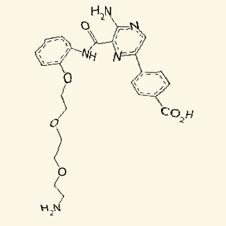 NCCOCCOCCOc1ccccc1NC(=O)c1nc(-c2ccc(C(=O)O)cc2)cnc1N